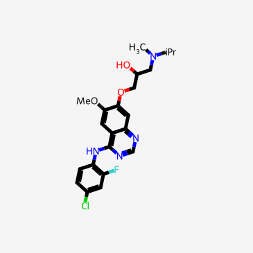 COc1cc2c(Nc3ccc(Cl)cc3F)ncnc2cc1OCC(O)CN(C)C(C)C